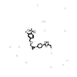 CCc1noc(N2CCC([C@H]3C[C@H]3COCc3ccc(S(C)(=O)=O)c(F)c3)CC2)n1